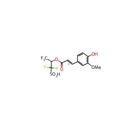 COc1cc(/C=C/C(=O)OC(C(F)(F)F)C(F)(F)S(=O)(=O)O)ccc1O